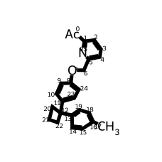 CC(=O)c1cccc(COc2ccc(C3(c4ccc(C)cc4)CCC3)cc2)n1